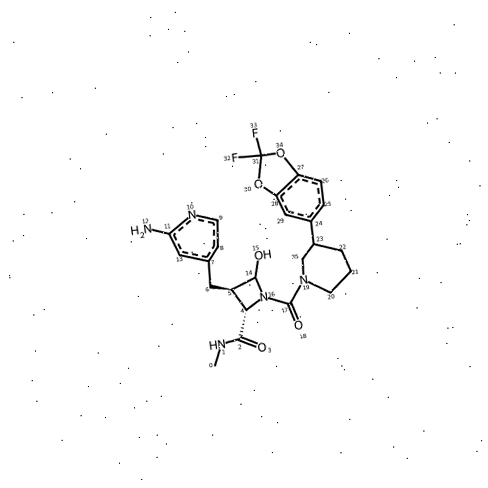 CNC(=O)[C@@H]1[C@@H](Cc2ccnc(N)c2)C(O)N1C(=O)N1CCCC(c2ccc3c(c2)OC(F)(F)O3)C1